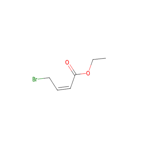 CCOC(=O)/C=C\CBr